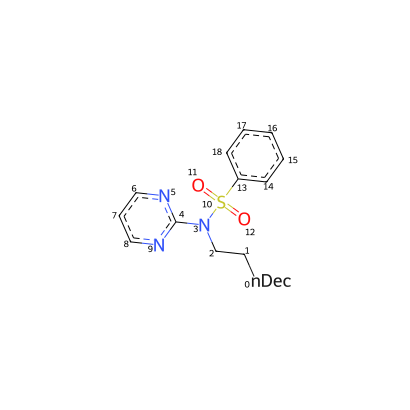 CCCCCCCCCCCCN(c1ncccn1)S(=O)(=O)c1ccccc1